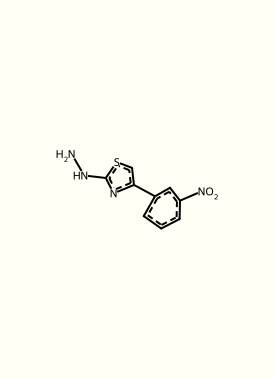 NNc1nc(-c2cccc([N+](=O)[O-])c2)cs1